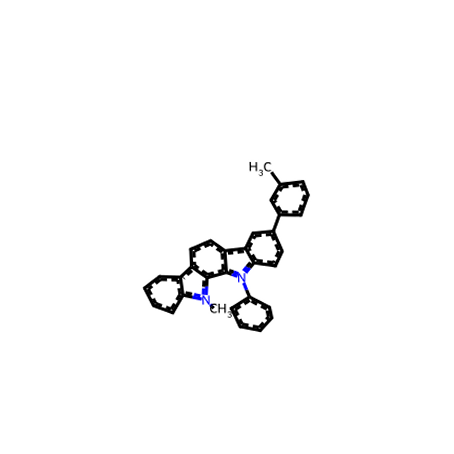 Cc1cccc(-c2ccc3c(c2)c2ccc4c5ccccc5n(C)c4c2n3-c2ccccc2)c1